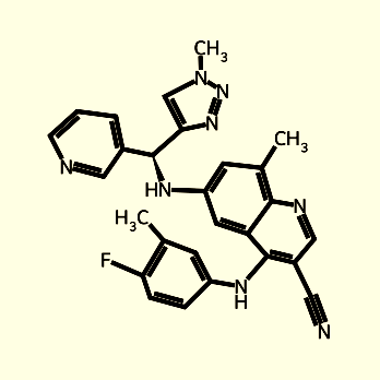 Cc1cc(Nc2c(C#N)cnc3c(C)cc(N[C@@H](c4cccnc4)c4cn(C)nn4)cc23)ccc1F